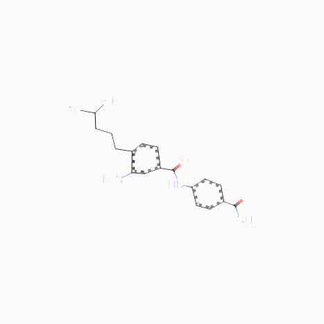 CC(=O)C(C)CCCc1ccc(C(=O)Nc2ccc(C(N)=O)cc2)cc1N